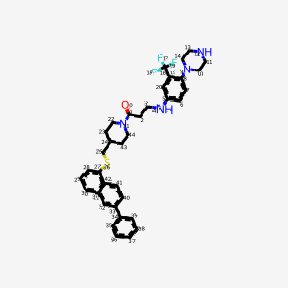 O=C(CCNc1ccc(N2CCNCC2)c(C(F)(F)F)c1)N1CCC(CSc2cccc3cc(-c4ccccc4)ccc23)CC1